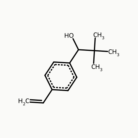 C=Cc1ccc(C(O)C(C)(C)C)cc1